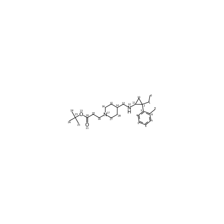 CCC1(c2ccccc2C)CC1NCC1CCN(CCC(=O)OC(C)(C)C)CC1